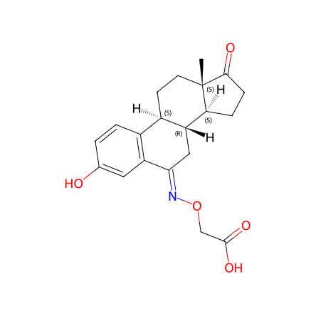 C[C@]12CC[C@@H]3c4ccc(O)cc4C(=NOCC(=O)O)C[C@H]3[C@@H]1CCC2=O